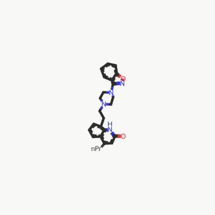 CCCc1cc(=O)[nH]c2c(CCN3CCN(c4noc5ccccc45)CC3)cccc12